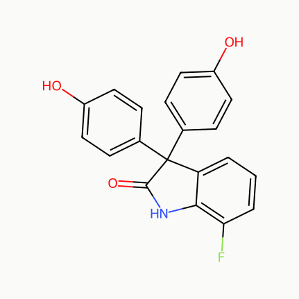 O=C1Nc2c(F)cccc2C1(c1ccc(O)cc1)c1ccc(O)cc1